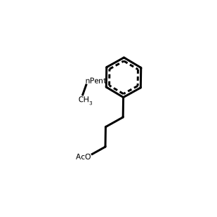 CC(=O)OCCCc1ccccc1.CCCCCC